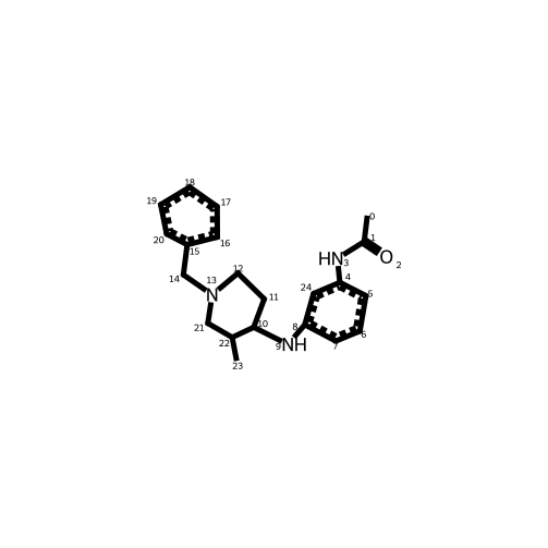 CC(=O)Nc1cccc(NC2CCN(Cc3ccccc3)CC2C)c1